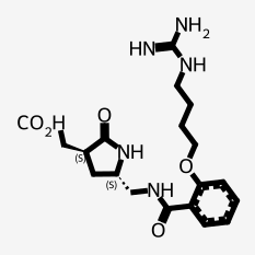 N=C(N)NCCCCOc1ccccc1C(=O)NC[C@@H]1C[C@@H](CC(=O)O)C(=O)N1